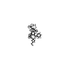 CCCCC1(CC)CN(c2ccccc2)c2cc(S(C)(=O)=O)c(OCC(=O)O)cc2S(=O)(=O)C1